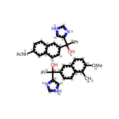 CC(=O)Nc1ccc2cc(C(O)(c3c[nH]cn3)C(C)C)ccc2c1.COc1ccc2cc(C(O)(c3c[nH]cn3)C(C)C)ccc2c1C